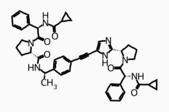 C[C@@H](NC(=O)[C@@H]1CCCN1C(=O)[C@H](NC(=O)C1CC1)c1ccccc1)c1ccc(C#Cc2cnc([C@@H]3CCCN3C(=O)[C@H](NC(=O)C3CC3)c3ccccc3)[nH]2)cc1